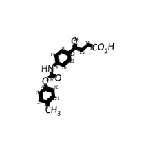 Cc1ccc(OC(=O)Nc2ccc(C(=O)CCC(=O)O)cc2)cc1